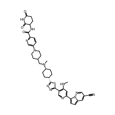 CNc1cc(-c2ccc3cc(C#N)cnn23)ncc1-c1nnc([C@H]2CC[C@H](N(C)CC3CCN(c4ccc(C(=O)NC5CCC(=O)NC5=O)nc4)CC3)CC2)s1